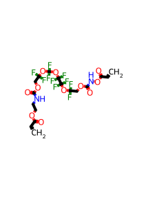 C=CC(=O)OCCNC(=O)OCC(F)(F)OC(F)(F)OC(F)(F)C(F)(F)OC(F)(F)COC(=O)NOC(=O)C=C